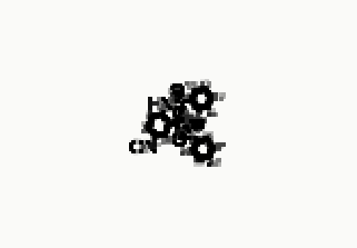 O=Nc1ccc(NS(=O)(=O)c2ccccc2)c(NS(=O)(=O)c2ccccc2)c1